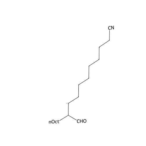 CCCCCCCCC([CH]CCCCCCCC#N)C=O